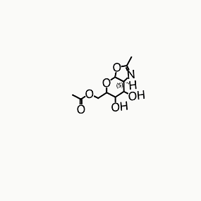 CC(=O)OCC1OC2OC(C)=N[C@H]2C(O)C1O